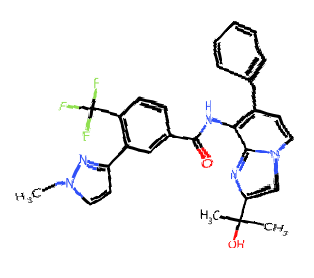 Cn1ccc(-c2cc(C(=O)Nc3c(-c4ccccc4)ccn4cc(C(C)(C)O)nc34)ccc2C(F)(F)F)n1